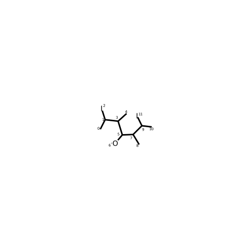 CC(I)C(C)C([O])C(C)C(C)I